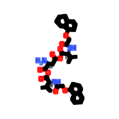 CC(C)[C@H](NC(=O)COc1cccc2ccccc12)C(=O)OC(=O)C[C@H](N)C(=O)OC(=O)[C@@H](NC(=O)COc1cccc2ccccc12)C(C)C